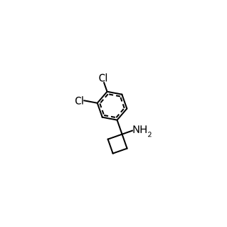 NC1(c2ccc(Cl)c(Cl)c2)CCC1